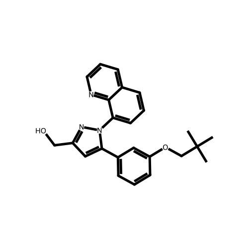 CC(C)(C)COc1cccc(-c2cc(CO)nn2-c2cccc3cccnc23)c1